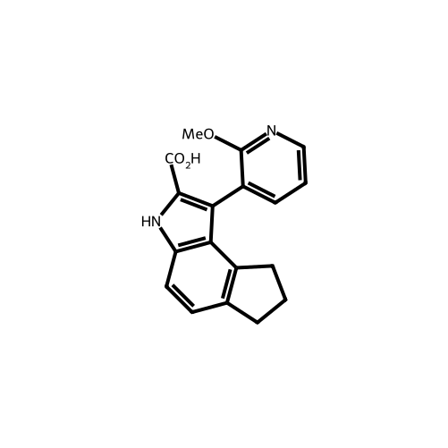 COc1ncccc1-c1c(C(=O)O)[nH]c2ccc3c(c12)CCC3